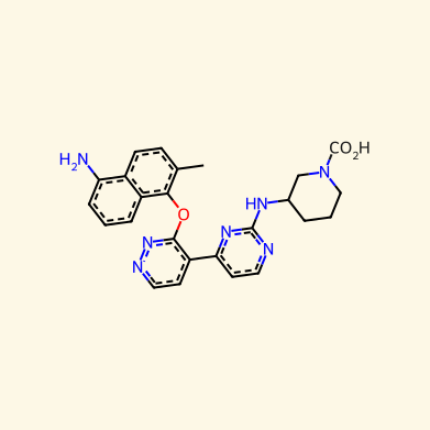 Cc1ccc2c(N)cccc2c1Oc1nnccc1-c1ccnc(NC2CCCN(C(=O)O)C2)n1